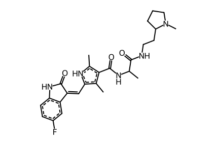 Cc1[nH]c(/C=C2\C(=O)Nc3ccc(F)cc32)c(C)c1C(=O)NC(C)C(=O)NCCC1CCCN1C